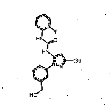 CC(C)(C)c1cc(NC(=O)Nc2ccccc2F)n(-c2cccc(CO)c2)n1